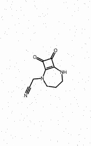 N#CCN1CCCNc2c1c(=O)c2=O